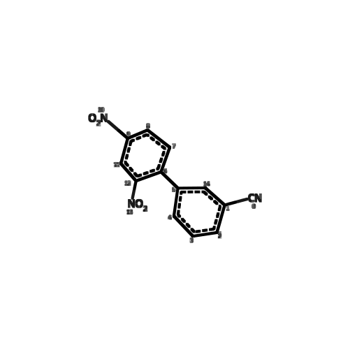 N#Cc1[c]ccc(-c2ccc([N+](=O)[O-])cc2[N+](=O)[O-])c1